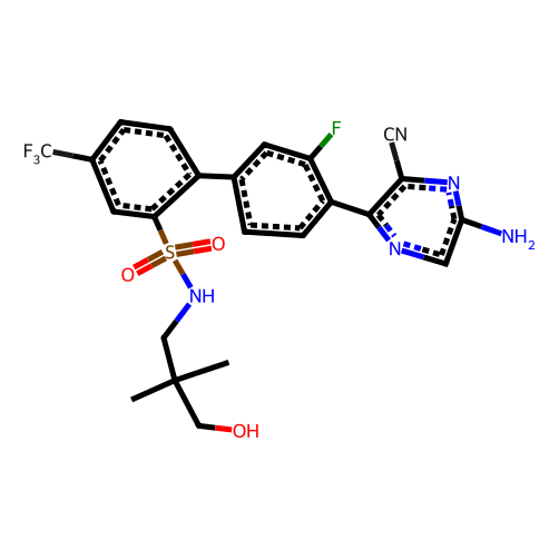 CC(C)(CO)CNS(=O)(=O)c1cc(C(F)(F)F)ccc1-c1ccc(-c2ncc(N)nc2C#N)c(F)c1